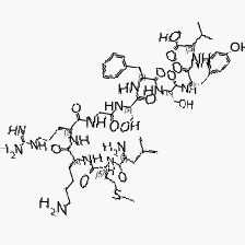 CSCC[C@H](NC(=O)[C@@H](N)CC(C)C)C(=O)N[C@@H](CCCCN)C(=O)N[C@@H](CCCNC(=N)N)C(=O)NCC(=O)N[C@@H](CO)C(=O)N[C@@H](Cc1ccccc1)C(=O)N[C@@H](CO)C(=O)N[C@@H](Cc1ccc(O)cc1)C(=O)N[C@H](C(=O)O)C(C)C